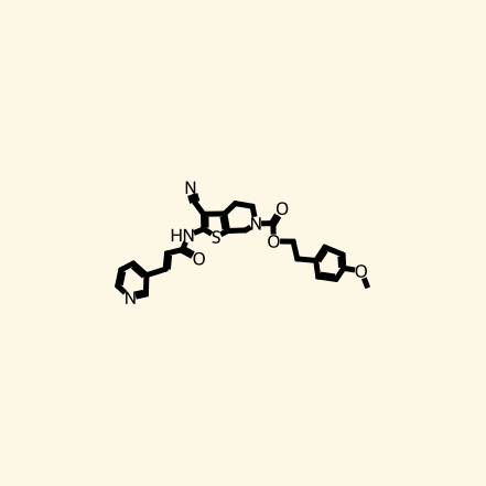 COc1ccc(CCOC(=O)N2CCc3c(sc(NC(=O)C=Cc4cccnc4)c3C#N)C2)cc1